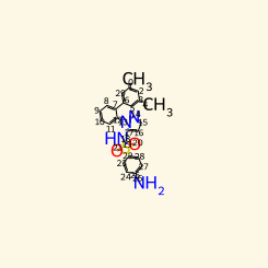 Cc1cc(C)cc(-c2ccccc2-n2nccc2NS(=O)(=O)c2ccc(N)cc2)c1